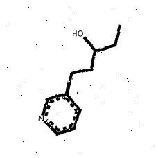 CCC(O)CCc1cccnc1